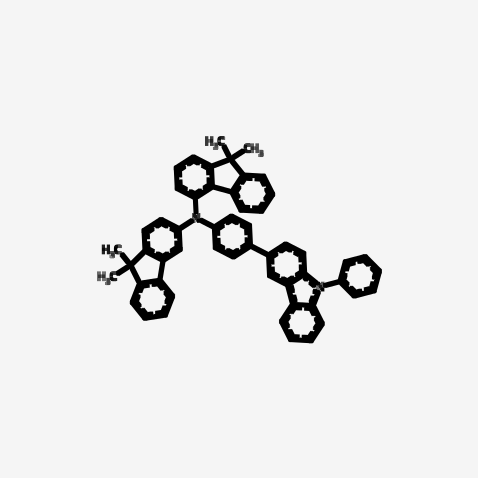 CC1(C)c2ccccc2-c2cc(N(c3ccc(-c4ccc5c(c4)c4ccccc4n5-c4ccccc4)cc3)c3cccc4c3-c3ccccc3C4(C)C)ccc21